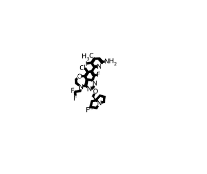 Cc1cc(N)nc(-c2c(Cl)c3c4c(nc(OC[C@@]56CCCN5C[C@H](F)C6)nc4c2F)N(CC(F)F)CCO3)c1I